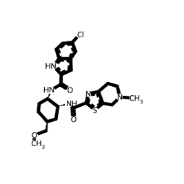 COC[C@H]1CC[C@H](NC(=O)c2cc3cc(Cl)ccc3[nH]2)[C@H](NC(=O)c2nc3c(s2)CN(C)CC3)C1